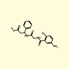 COC(=O)CC(NC(=O)CNC(=O)c1cc(N)ccc1Cl)c1ccccc1